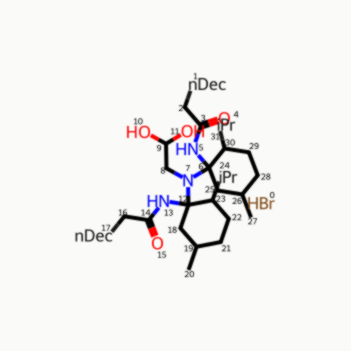 Br.CCCCCCCCCCCC(=O)NC1(N(CC(O)O)C2(NC(=O)CCCCCCCCCCC)CC(C)CCC2C(C)C)CC(C)CCC1C(C)C